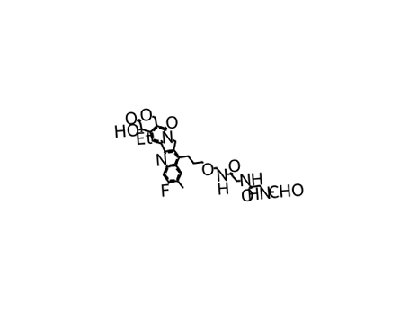 CC[C@@]1(O)C(=O)OCc2c1cc1n(c2=O)Cc2c-1nc1cc(F)c(C)cc1c2CCCOCNC(=O)CNC(=O)CNC=O